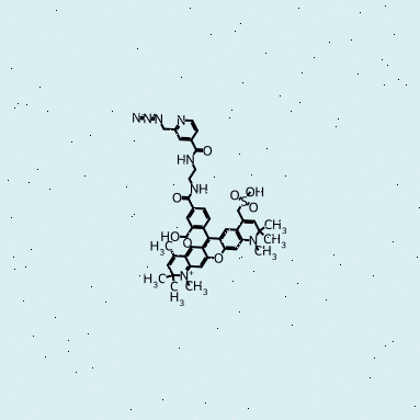 CC1=CC(C)(C)[N+](C)=c2cc3c(cc21)=C(c1ccc(C(=O)NCCNC(=O)c2ccnc(CN=[N+]=[N-])c2)cc1C(=O)O)c1cc2c(cc1O3)N(C)C(C)(C)C=C2CS(=O)(=O)O